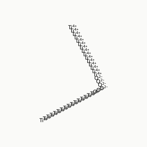 [O-2].[O-2].[O-2].[O-2].[O-2].[O-2].[Ti+4].[Ti+4].[Ti+4].[Ti+4].[Ti+4].[Ti+4].[Ti+4].[Ti+4].[Ti+4].[Ti+4].[Ti+4].[Ti+4].[Ti+4].[Ti+4].[Ti+4].[Ti+4].[Ti+4].[Ti+4].[Ti+4].[Ti+4].[Ti+4].[Ti+4].[Ti+4].[Ti+4].[Ti+4].[Ti+4].[Ti+4].[Ti+4].[Ti+4].[Ti+4].[Ti+4]